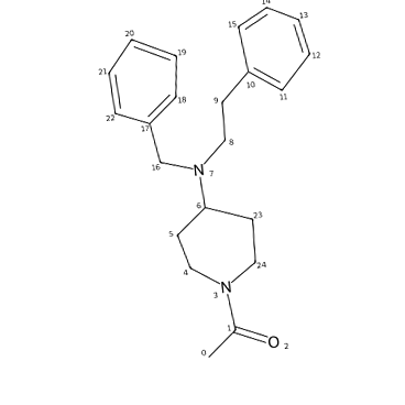 CC(=O)N1CCC(N(CCc2ccccc2)Cc2ccccc2)CC1